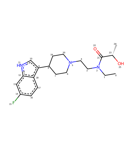 CCN(CCN1CCC(c2c[nH]c3cc(F)ccc23)CC1)C(=O)[C@H](C)O